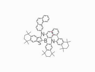 Cc1cc2c3c(c1)N(c1ccc4ccc5ccccc5c4c1)c1c(sc4cc5c(cc14)C(C)(C)CCC5(C)C)B3c1cc3c(cc1N2c1cc2c(cc1-c1ccccc1)C(C)(C)CCC2(C)C)C(C)(C)CCC3(C)C